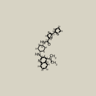 CN(C)c1cc(N[C@H]2CC[C@@H](NC(=O)c3csc(-c4cccs4)n3)CC2)nc2ccccc12